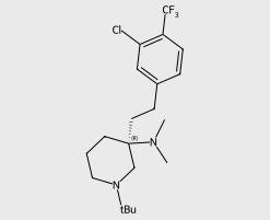 CN(C)[C@]1(CCc2ccc(C(F)(F)F)c(Cl)c2)CCCN(C(C)(C)C)C1